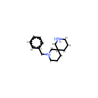 c1ccc(CN2CCCC3(CCCNC3)C2)cc1